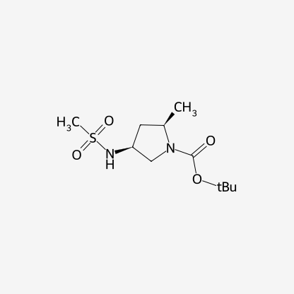 C[C@@H]1C[C@H](NS(C)(=O)=O)CN1C(=O)OC(C)(C)C